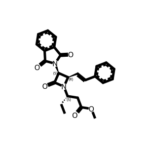 CC[C@@H](CC(=O)OC)N1C(=O)[C@@H](N2C(=O)c3ccccc3C2=O)[C@H]1C=Cc1ccccc1